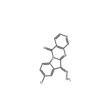 N/N=C1\c2cc(Cl)ccc2-n2c1nc1cnccc1c2=O